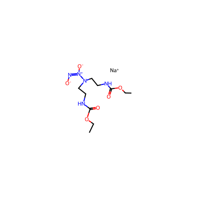 CCOC(=O)NCCN(CCNC(=O)OCC)/[N+]([O-])=N\[O-].[Na+]